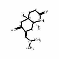 CN(C)/C=C1\C[C@@H]2NC(=O)CC[C@H]2CC1=O